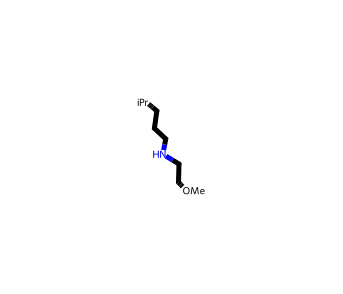 COCCNCCCC(C)C